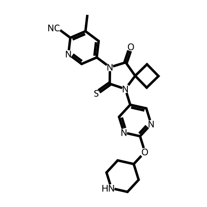 Cc1cc(N2C(=O)C3(CCC3)N(c3cnc(OC4CCNCC4)nc3)C2=S)cnc1C#N